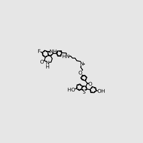 CN(CCCCCNCc1ccc(-c2[nH]c3cc(F)cc4c3c2CCNC4=O)cc1)CCOc1ccc(C(=O)c2c(-c3ccc(O)cc3)sc3cc(O)ccc23)cc1